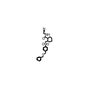 N#CCNC(=O)C1CCCCC1CS(=O)(=O)c1ccc(CSCc2ccccc2)cc1